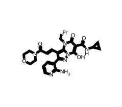 CC(C)Cn1c(=O)c(C(=O)NC2CC2)c(O)n2nc(-c3cccnc3N)c(/C=C/C(=O)N3CCOCC3)c12